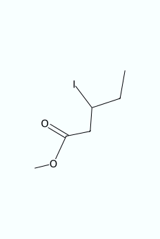 CCC(I)CC(=O)OC